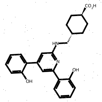 O=C(O)[C@H]1CC[C@H](CNc2cc(-c3ccccc3O)cc(-c3ccccc3O)n2)CC1